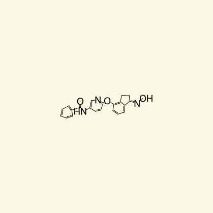 O=C(Nc1ccc(Oc2cccc3c2CCC3=NO)nc1)c1ccccc1